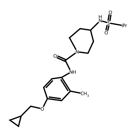 Cc1cc(OCC2CC2)ccc1NC(=O)N1CCC(NS(=O)(=O)C(C)C)CC1